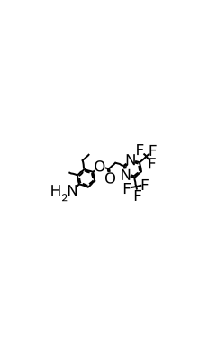 CCc1c(OC(=O)Cc2nc(C(F)(F)F)cc(C(F)(F)F)n2)ccc(N)c1C